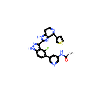 CCCC(=O)Nc1cncc(-c2ccc3[nH]nc(-c4nc5c(-c6ccsc6)nccc5[nH]4)c3c2F)c1